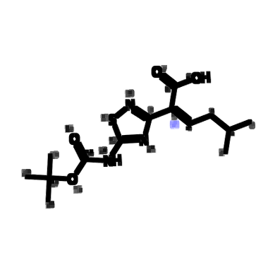 CC(C)C/C=C(\C(=O)O)c1nsc(NC(=O)OC(C)(C)C)n1